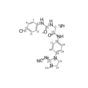 CC(C)[C@@H](NC(=O)Nc1ccc(Cl)cc1)C(=O)Nc1ccc(N2CCN(C)/C2=N\C#N)cc1